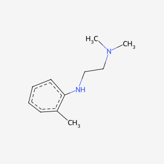 Cc1ccccc1NCCN(C)C